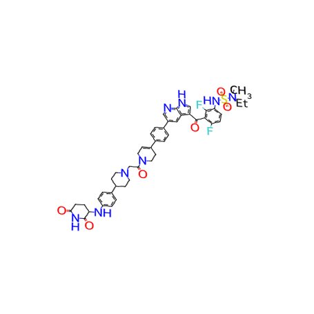 CCN(C)S(=O)(=O)Nc1ccc(F)c(C(=O)c2c[nH]c3ncc(-c4ccc(C5=CCN(C(=O)CN6CCC(c7ccc(NC8CCC(=O)NC8=O)cc7)CC6)CC5)cc4)cc23)c1F